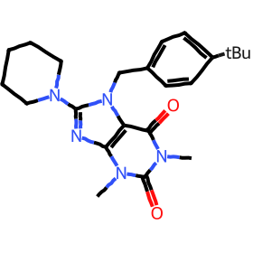 Cn1c(=O)c2c(nc(N3CCCCC3)n2Cc2ccc(C(C)(C)C)cc2)n(C)c1=O